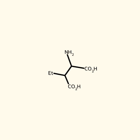 CCC(C(=O)O)C(N)C(=O)O